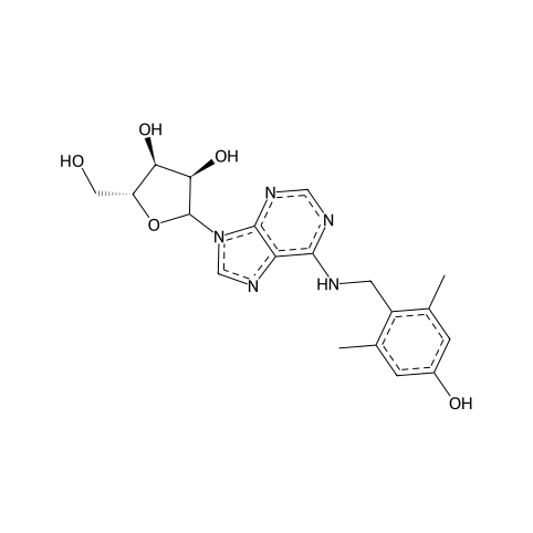 Cc1cc(O)cc(C)c1CNc1ncnc2c1ncn2C1O[C@H](CO)[C@@H](O)[C@H]1O